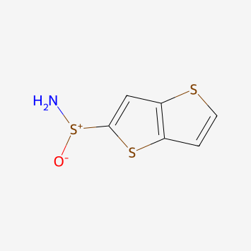 N[S+]([O-])c1cc2sccc2s1